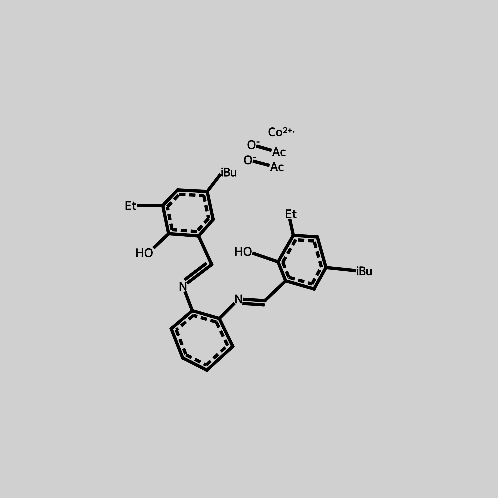 CC(=O)[O-].CC(=O)[O-].CCc1cc(C(C)CC)cc(C=Nc2ccccc2N=Cc2cc(C(C)CC)cc(CC)c2O)c1O.[Co+2]